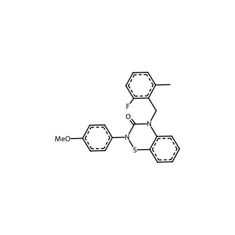 COc1ccc(N2Sc3ccccc3N(Cc3c(C)cccc3F)C2=O)cc1